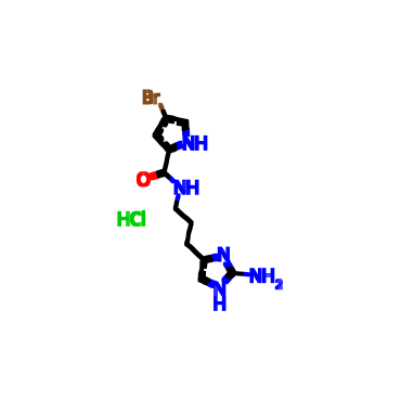 Cl.Nc1nc(CCCNC(=O)c2cc(Br)c[nH]2)c[nH]1